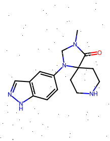 CN1CN(c2ccc3[nH]ncc3c2)C2(CCNCC2)C1=O